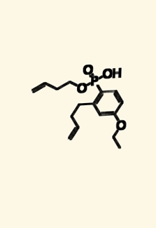 C=CCCOP(=O)(O)c1ccc(OCC)cc1CCC=C